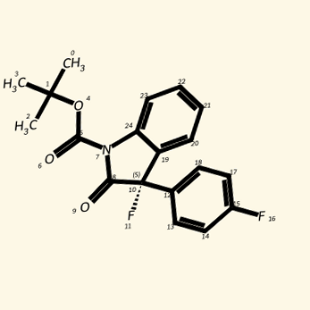 CC(C)(C)OC(=O)N1C(=O)[C@](F)(c2ccc(F)cc2)c2ccccc21